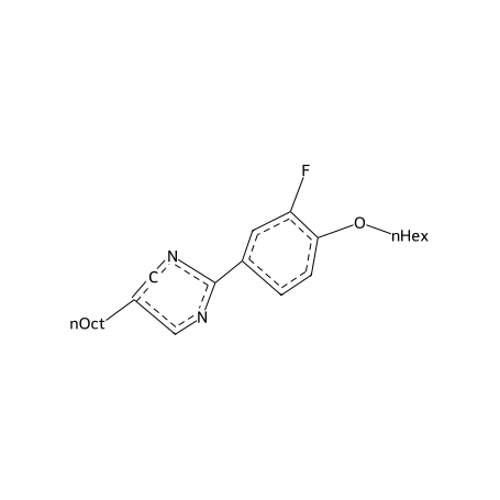 CCCCCCCCc1cnc(-c2ccc(OCCCCCC)c(F)c2)nc1